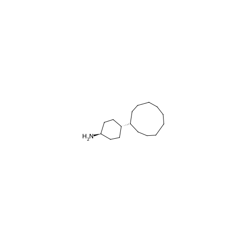 N[C@H]1CC[C@H](C2CCCCCCCCC2)CC1